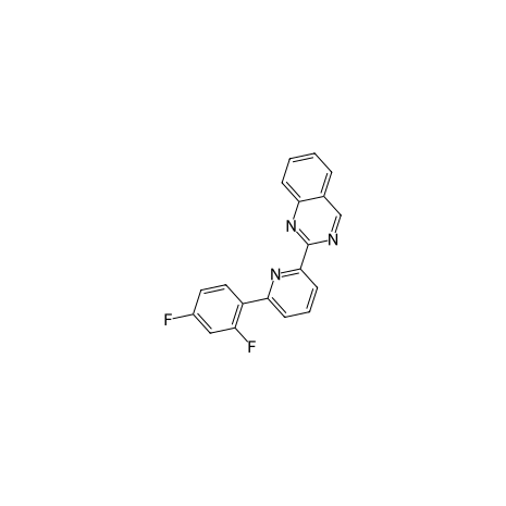 Fc1ccc(-c2cccc(-c3ncc4ccccc4n3)n2)c(F)c1